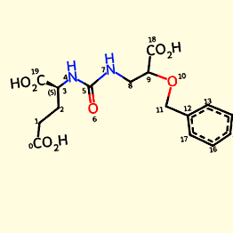 O=C(O)CC[C@H](NC(=O)NCC(OCc1ccccc1)C(=O)O)C(=O)O